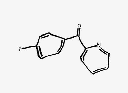 O=C(c1ccc(F)cc1)c1ccccn1